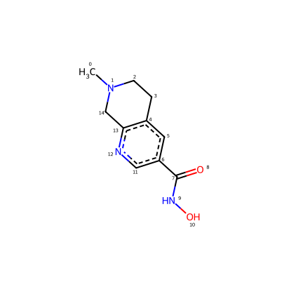 CN1CCc2cc(C(=O)NO)cnc2C1